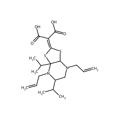 C=CCN1CC(C(C)C)N(CC=C)C2(C(C)C)SC(=C(C(=O)O)C(=O)O)SC12